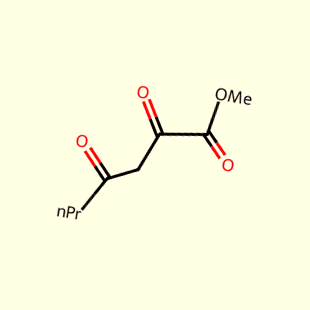 CCCC(=O)CC(=O)C(=O)OC